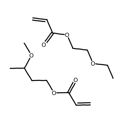 C=CC(=O)OCCC(C)OC.C=CC(=O)OCCOCC